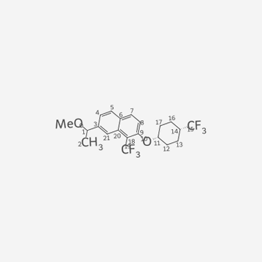 COC(C)c1ccc2ccc(O[C@H]3CC[C@@H](C(F)(F)F)CC3)c(C(F)(F)F)c2c1